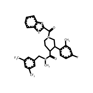 Cc1cc(F)ccc1C1CN(C(=O)c2nc3ccccc3s2)CCC1C(=O)N(C)Cc1cc(C(F)(F)F)cc(C(F)(F)F)c1